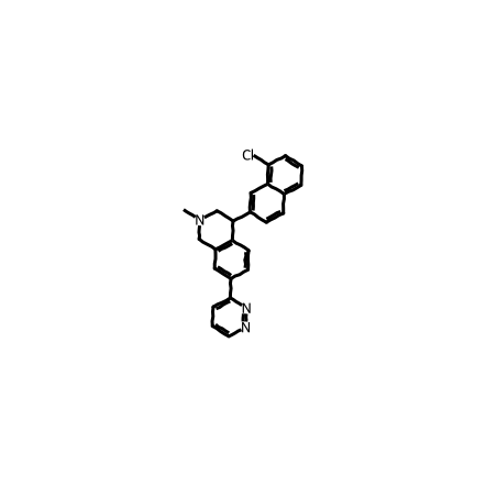 CN1Cc2cc(-c3cccnn3)ccc2C(c2ccc3cccc(Cl)c3c2)C1